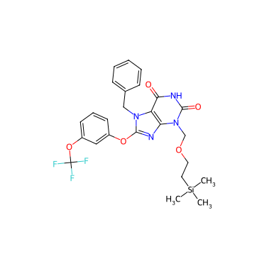 C[Si](C)(C)CCOCn1c(=O)[nH]c(=O)c2c1nc(Oc1cccc(OC(F)(F)F)c1)n2Cc1ccccc1